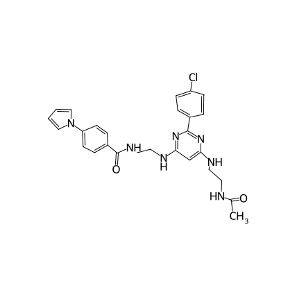 CC(=O)NCCNc1cc(NCCNC(=O)c2ccc(-n3cccc3)cc2)nc(-c2ccc(Cl)cc2)n1